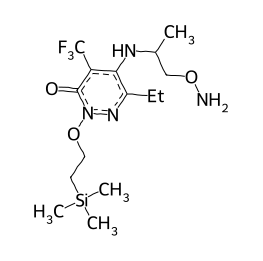 CCc1nn(OCC[Si](C)(C)C)c(=O)c(C(F)(F)F)c1NC(C)CON